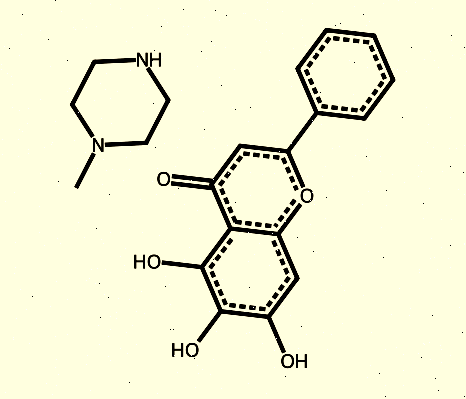 CN1CCNCC1.O=c1cc(-c2ccccc2)oc2cc(O)c(O)c(O)c12